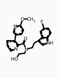 COc1ccc(-c2cccnc2C(=O)N(CCO)CCc2c[nH]c3ccc(F)cc23)cn1